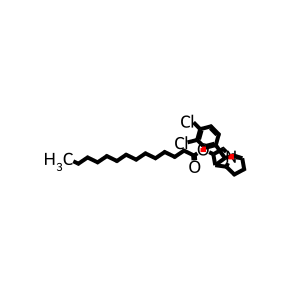 CCCCCCCCCCCCCC(=O)OC1CN2C3CCC2C1C(c1ccc(Cl)c(Cl)c1)C3